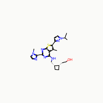 Cc1c(-c2ccn(C(C)C)n2)sc2nc(-c3nccn3C)nc(NC[C@H]3CC[C@H]3CCO)c12